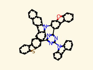 c1ccc2cc3c(cc2c1)c1ccccc1n3-c1cc2oc3ccccc3c2cc1-c1nc(-c2ccc3c(c2)sc2ccccc23)nc(-n2c3ccccc3c3ccccc32)n1